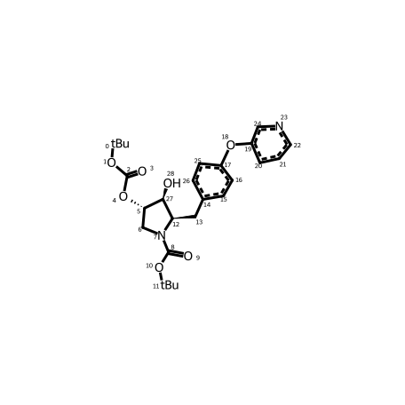 CC(C)(C)OC(=O)O[C@H]1CN(C(=O)OC(C)(C)C)[C@H](Cc2ccc(Oc3cccnc3)cc2)[C@@H]1O